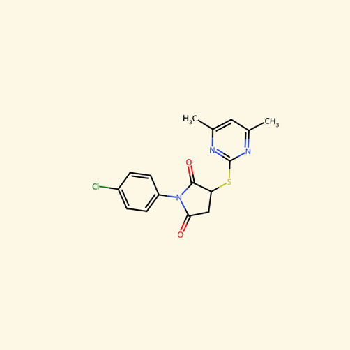 Cc1cc(C)nc(SC2CC(=O)N(c3ccc(Cl)cc3)C2=O)n1